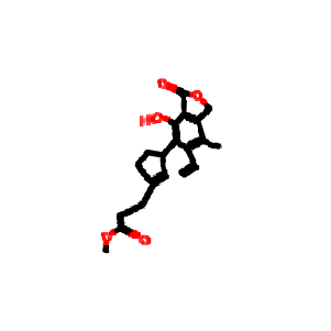 C=Cc1c(C)c2c(c(O)c1C1C=C(CCC(=O)OC)CC1)C(=O)OC2